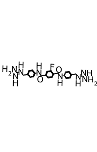 N=C(N)NCc1ccc(NC(=O)c2ccc(C(=O)Nc3ccc(CNC(=N)N)cc3)c(F)c2)cc1